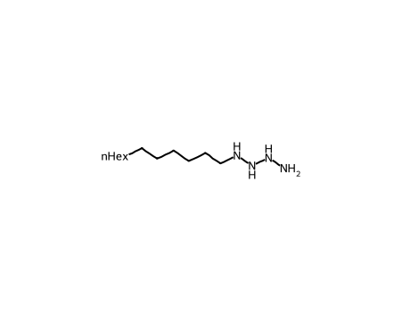 CCCCCCCCCCCCNNNN